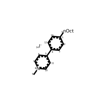 CCCCCCCCc1ccc(-c2cc[n+](C)cc2)cc1.[I-]